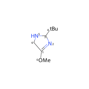 COC1=NC(C(C)(C)C)NC1